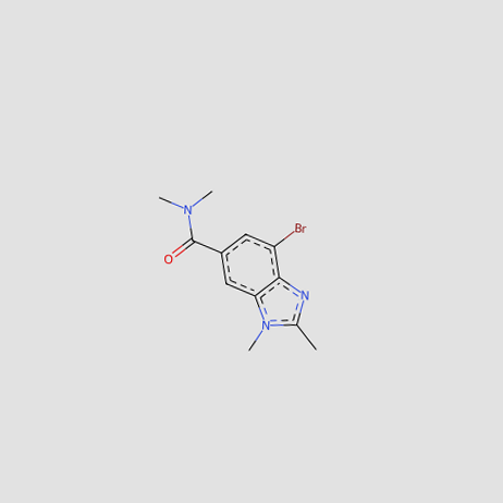 Cc1nc2c(Br)cc(C(=O)N(C)C)cc2n1C